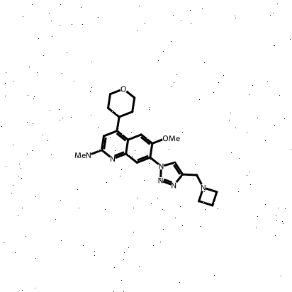 CNc1cc(C2CCOCC2)c2cc(OC)c(-n3cc(CN4CCC4)nn3)cc2n1